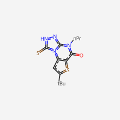 CCCn1c(=O)c2sc(C(C)(C)C)cc2n2c(=S)[nH]nc12